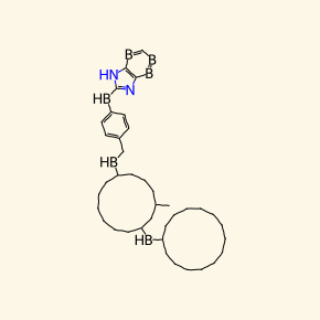 CC1CCCC(BCc2ccc(Bc3nc4bbcbc4[nH]3)cc2)CCCCCCC(BC2CCCCCCCCCCCCC2)C1